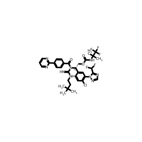 CC(C)(C)CCNC(=N)N(C(=O)c1ccc(-c2ncccn2)cc1)[C@H](COC(=O)NC(C)(C)C(F)(F)F)c1ccc(Cl)c(-n2ncnc2C(F)F)c1